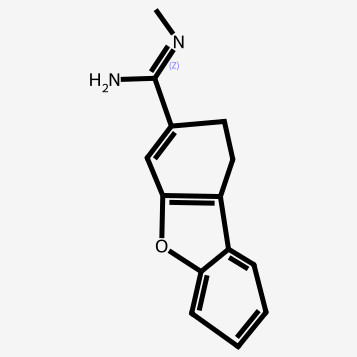 C/N=C(\N)C1=Cc2oc3ccccc3c2CC1